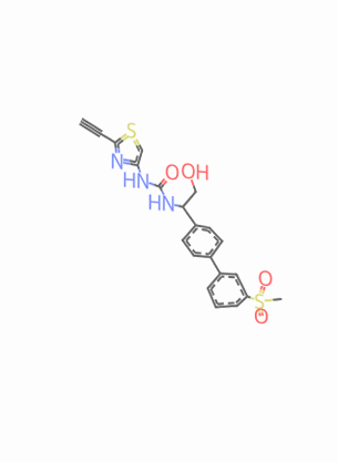 C#Cc1nc(NC(=O)NC(CO)c2ccc(-c3cccc(S(C)(=O)=O)c3)cc2)cs1